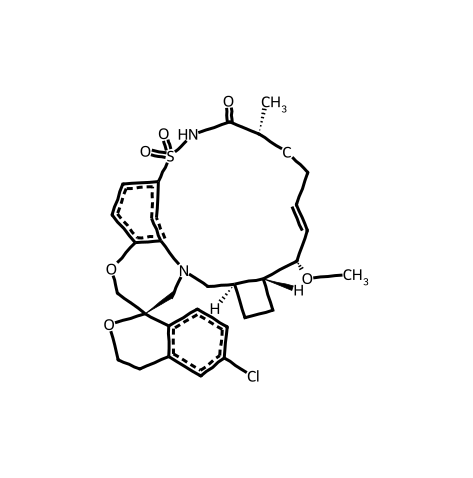 CO[C@H]1/C=C/CC[C@@H](C)C(=O)NS(=O)(=O)c2ccc3c(c2)N(C[C@@H]2CC[C@H]21)C[C@]1(CO3)OCCc2cc(Cl)ccc21